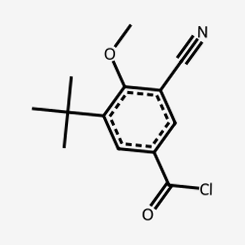 COc1c(C#N)cc(C(=O)Cl)cc1C(C)(C)C